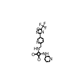 O=c1c(NCc2ccc(-c3noc(C(F)(F)F)n3)cn2)c(Nc2cccnc2)c1=O